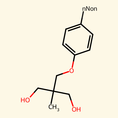 CCCCCCCCCc1ccc(OCC(C)(CO)CO)cc1